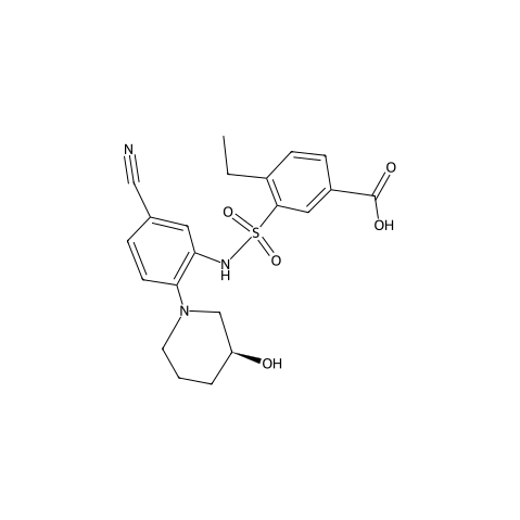 CCc1ccc(C(=O)O)cc1S(=O)(=O)Nc1cc(C#N)ccc1N1CCC[C@H](O)C1